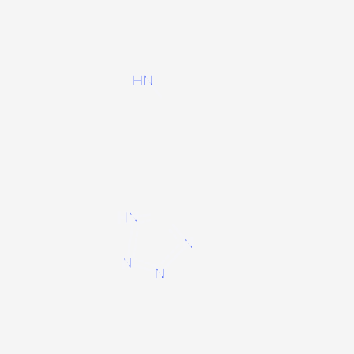 [NH]c1cccc(-c2nnn[nH]2)c1